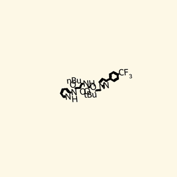 CCCC[C@H](NC(=O)O[C@H](Cn1ccc(-c2ccc(C(F)(F)F)cc2)n1)C(C)(C)C)C(=O)C(=O)Nc1ccccn1